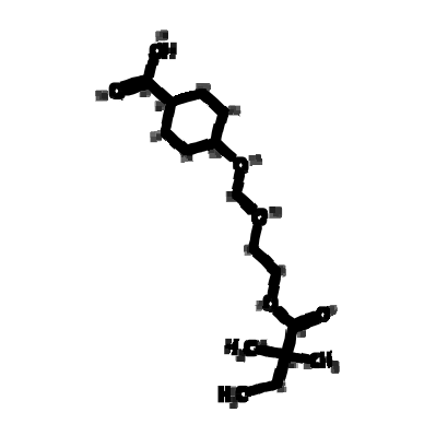 CCC(C)(C)C(=O)OCCOCOC1CCC(C(=O)O)CC1